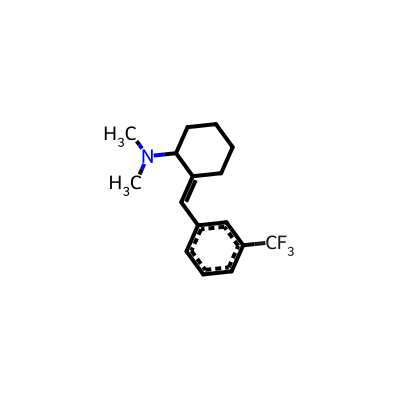 CN(C)C1CCCCC1=Cc1cccc(C(F)(F)F)c1